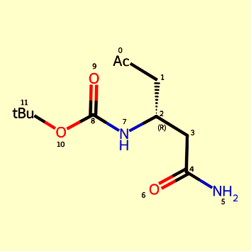 CC(=O)C[C@H](CC(N)=O)NC(=O)OC(C)(C)C